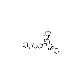 O=C(Nc1ccc(-c2nc(C[S+]([O-])c3ccncc3)cc(N3CCOC[C@@H]3I)n2)cc1)Oc1ccccc1